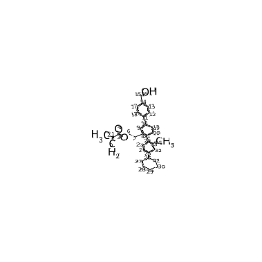 C=C(C)C(=O)OCCc1cc(-c2ccc(CO)cc2)ccc1-c1ccc(C2CCCCC2)cc1C